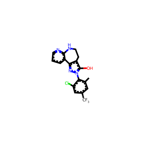 Cc1cc(C(F)(F)F)cc(Cl)c1-n1nc2c(c1O)CCNc1ncccc1-2